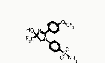 NS(=O)(=O)c1ccc(N2CC(O)(C(F)(F)F)N=C2c2ccc(OC(F)(F)F)cc2)cc1